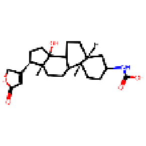 C[C@]12CC[C@H](NC(=O)O)C[C@H]1CCC1C2CC[C@]2(C)[C@@H](C3=CC(=O)OC3)CC[C@]12O